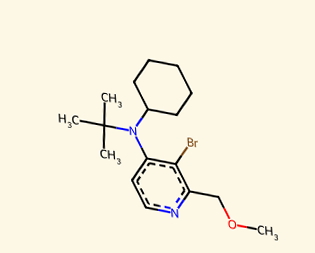 COCc1nccc(N(C2CCCCC2)C(C)(C)C)c1Br